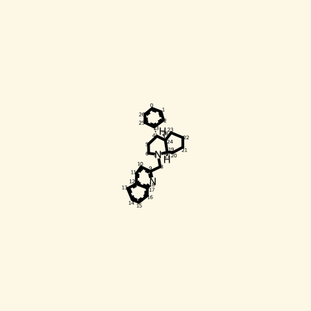 c1ccc([C@H]2CCN(Cc3ccc4ccccc4n3)[C@@H]3CCCC[C@H]23)cc1